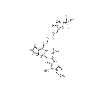 CCN(C=O)C(C)c1nc(C2CC2)c(-c2cn3ccnc3c(OCCCCCC(CCC(F)(F)F)NC)n2)s1